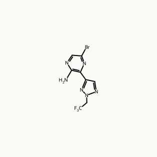 Nc1ncc(Br)nc1-c1cnn(CC(F)(F)F)n1